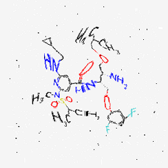 CC(C)COC[C@H](N)[C@H](COc1cc(F)cc(F)c1)NC(=O)c1cc(NCC2CC2)nc(N(C)S(=O)(=O)C(C)C)c1